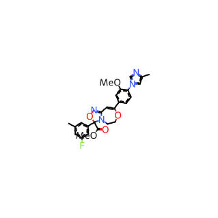 COC(=O)C1(c2cc(C)cc(F)c2)ON=C2C=C(c3ccc(-n4cnc(C)c4)c(OC)c3)OCCN21